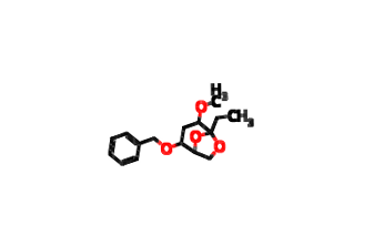 CCC12OCC(O1)C(OCc1ccccc1)CC2OC